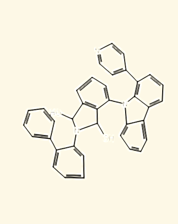 OC1c2cccc(-n3c4ccccc4c4cccc(-c5ccncc5)c43)c2C(O)N1c1ccccc1-c1ccccc1